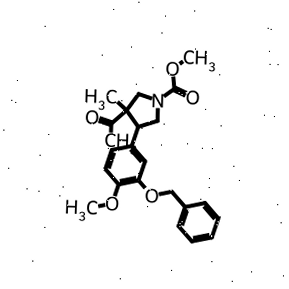 COC(=O)N1CC(c2ccc(OC)c(OCc3ccccc3)c2)C(C)(C(C)=O)C1